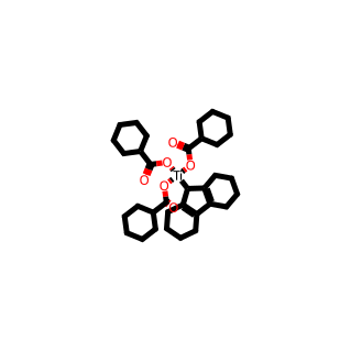 O=C([O][Ti]([O]C(=O)C1CCCCC1)([O]C(=O)C1CCCCC1)[CH]1C2=C(CCCC2)C2=C1CCCC2)C1CCCCC1